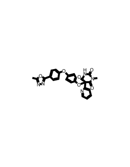 Cc1nnc(-c2ccc(Oc3ccc(OC4(c5ccccn5)C(=O)NC(=O)N(C)C4=O)cc3)cc2)o1